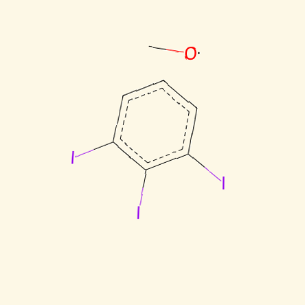 C[O].Ic1cccc(I)c1I